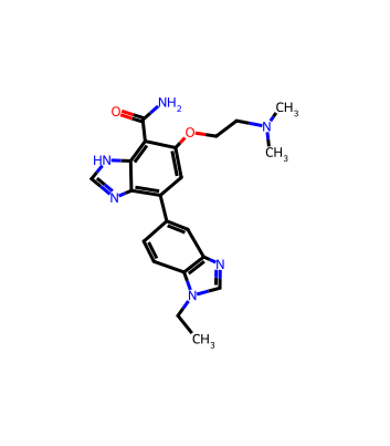 CCn1cnc2cc(-c3cc(OCCN(C)C)c(C(N)=O)c4[nH]cnc34)ccc21